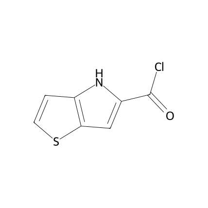 O=C(Cl)c1cc2sccc2[nH]1